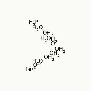 O.O.O.O.O.O.O.O.P.[Fe+2].[O-2]